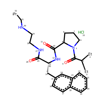 CCC(CC)C(=O)N1CCCC1C(=O)N[C@H](Cc1ccc2ccccc2c1)C(=O)NCCNCC(C)C.Cl